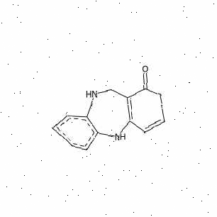 O=C1CC=CC2=C1CNc1ccccc1N2